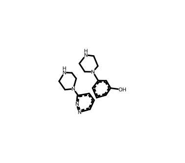 Oc1cccc(N2CCNCC2)c1.c1cnnc(N2CCNCC2)c1